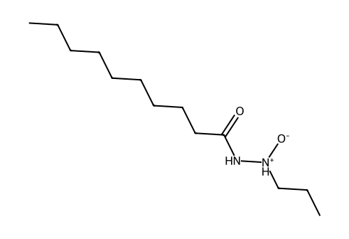 CCCCCCCCCC(=O)N[NH+]([O-])CCC